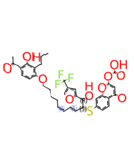 CCCc1c(OCCCC/C=C\C=C\[C@H](Sc2ccc3c(=O)cc(OC(=O)O)oc3c2)[C@H](O)c2cc(C(F)(F)F)co2)ccc(C(C)=O)c1O